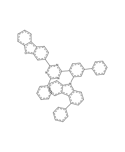 c1ccc(-c2ccc(-c3nc(-c4ccccc4)nc(-c4ccc5c(c4)oc4ccccc45)n3)c(-n3c4ccccc4c4c(-c5ccccc5)cccc43)c2)cc1